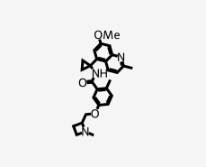 COc1cc(C2(NC(=O)c3cc(OCC4CCN4C)ccc3C)CC2)c2ccc(C)nc2c1